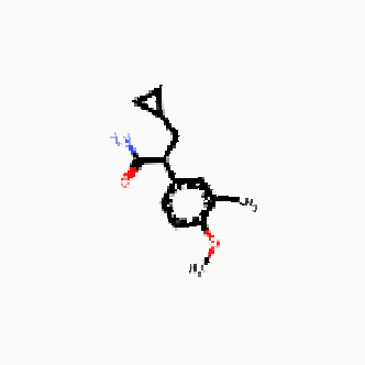 COc1ccc(C(CC2CC2)C(N)=O)cc1C